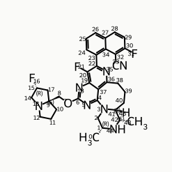 C[C@@H]1CN2c3nc(OC[C@@]45CCCN4C[C@H](F)C5)nc4c(F)c(-c5cccc6ccc(F)c(C#N)c56)nc(c34)CCC[C@@H]2[C@H](C)N1